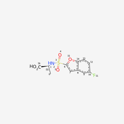 C[C@H](NS(=O)(=O)c1cc2cc(F)ccc2o1)C(=O)O